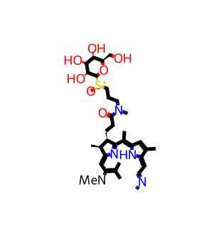 C/N=C/C=c1\[nH]/c(=C(/C)C2=N/C(=C\C(NC)=C(C)C)[C@@H](C)[C@@H]2CCC(=O)N(C)CCC[S+]([O-])[C@@H]2O[C@H](CO)[C@@H](O)[C@H](O)[C@H]2O)cc1C